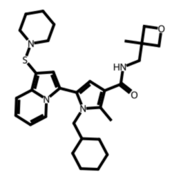 Cc1c(C(=O)NCC2(C)COC2)cc(-c2cc(SN3CCCCC3)c3ccccn23)n1CC1CCCCC1